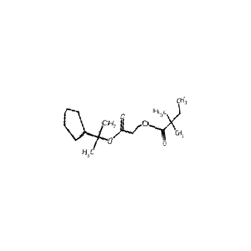 CCC(C)(C)C(=O)OCC(=O)OC(C)(C)C1CCCC1